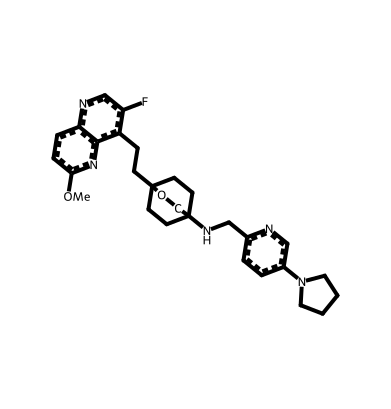 COc1ccc2ncc(F)c(CCC34CCC(NCc5ccc(N6CCCC6)cn5)(CC3)CO4)c2n1